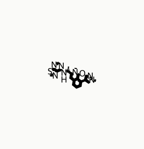 C[C@H](Nc1ncnc2scnc12)c1cc2cccc(-c3cnn(C)c3)c2c(=O)n1C